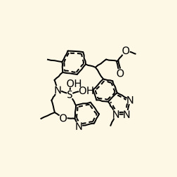 COC(=O)CC(c1ccc(C)c(CN2CC(C)Oc3ncccc3S2(O)O)c1)c1ccc2c(c1)nnn2C